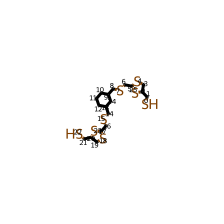 SCC1CSC(CSCC2CCCC(CSCC3SCC(CS)S3)C2)S1